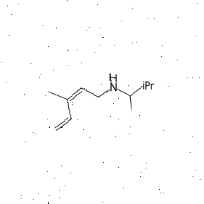 C=C/C(C)=C\CNC(C)C(C)C